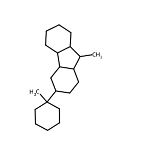 CC1C2CCCCC2C2CC(C3(C)CCCCC3)CCC12